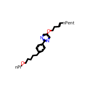 CCCCCC=CCCOc1cnc(-c2ccc(CCCCCOCCC)cc2)nc1